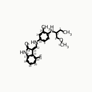 CCC(COC)Nc1ccc(NC=C2C(=O)Nc3cccc(F)c32)cc1C